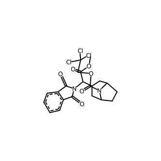 COC(=O)C(C1CC2CCC(C1)N2C(=O)OCC(Cl)(Cl)Cl)N1C(=O)c2ccccc2C1=O